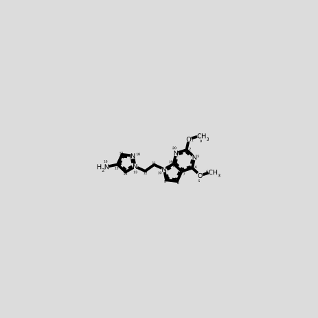 COc1nc(OC)c2ccn(CCn3cc(N)cn3)c2n1